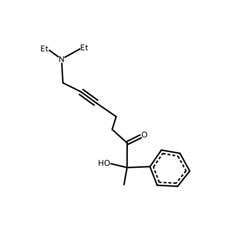 CCN(CC)CC#CCCC(=O)C(C)(O)c1ccccc1